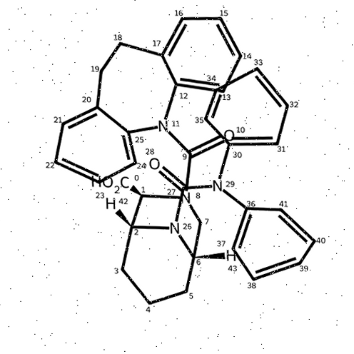 O=C(O)[C@@H]1[C@H]2CCC[C@@H](CN1C(=O)N1c3ccccc3CCc3ccccc31)N2C(=O)N(c1ccccc1)c1ccccc1